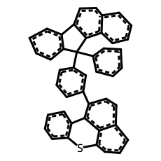 c1ccc(C2(c3cccc(-c4ccc5cccc6c5c4-c4ccccc4S6)c3)c3ccccc3-c3ccc4ccccc4c32)cc1